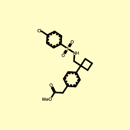 COC(=O)Cc1ccc(C2(CNS(=O)(=O)c3ccc(Cl)cc3)CCC2)cc1